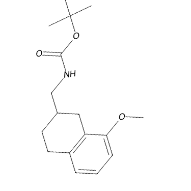 COc1cccc2c1CC(CNC(=O)OC(C)(C)C)CC2